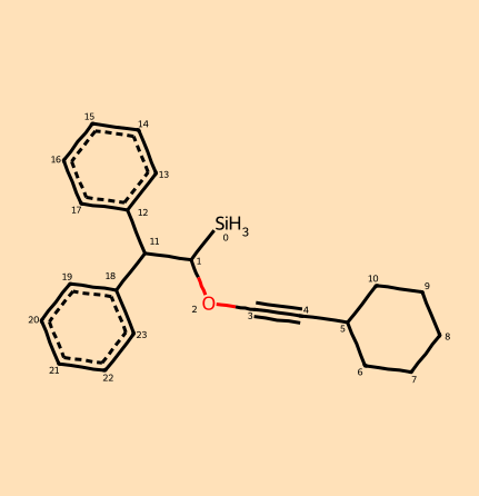 [SiH3]C(OC#CC1CCCCC1)C(c1ccccc1)c1ccccc1